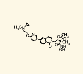 CN(CCOc1ccc(-c2ccc3c(=O)n(CC[C@](C)(C(=O)NO)S(C)(=O)=O)ccc3c2)cn1)C1CC1